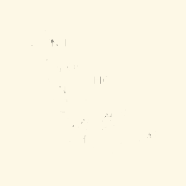 CC(=NOC(=O)C1CCCN1)[C@H]1CC[C@H]2[C@@H]3CCC4=CC(=O)CC[C@]4(C)[C@H]3CC[C@]12C.Cl